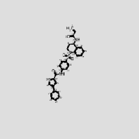 C=CC(=O)NC1CCN(S(=O)(=O)c2ccc(NC(=O)c3cc(-c4ccccc4)cs3)cc2)c2ccccc21